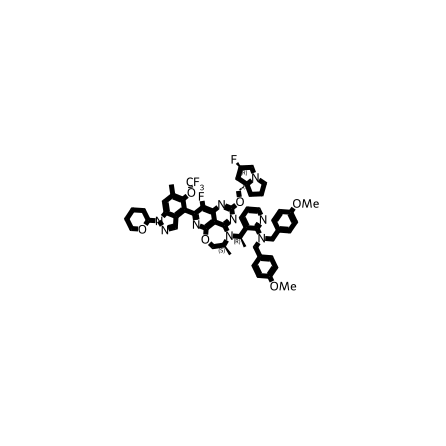 COc1ccc(CN(Cc2ccc(OC)cc2)c2ncccc2[C@@H](C)N2c3nc(OC[C@@]45CCCN4C[C@H](F)C5)nc4c(F)c(-c5c(OC(F)(F)F)c(C)cc6c5cnn6C5CCCCO5)nc(c34)OC[C@@H]2C)cc1